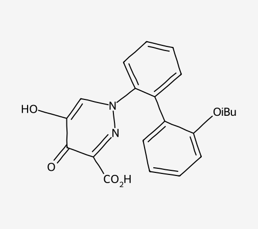 CC(C)COc1ccccc1-c1ccccc1-n1cc(O)c(=O)c(C(=O)O)n1